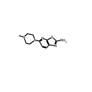 CN1CCN(c2ccc3nc(N)sc3n2)CC1